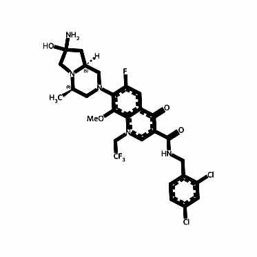 COc1c(N2C[C@@H]3CC(N)(O)CN3[C@H](C)C2)c(F)cc2c(=O)c(C(=O)NCc3ccc(Cl)cc3Cl)cn(CC(F)(F)F)c12